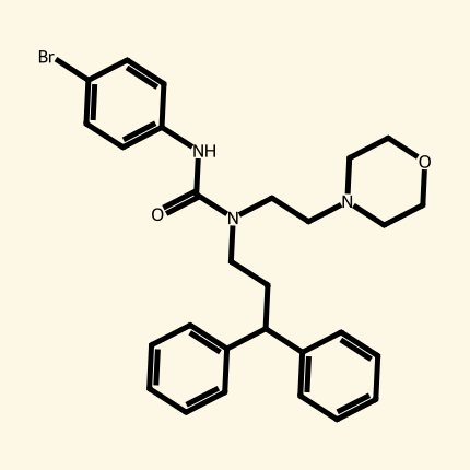 O=C(Nc1ccc(Br)cc1)N(CCC(c1ccccc1)c1ccccc1)CCN1CCOCC1